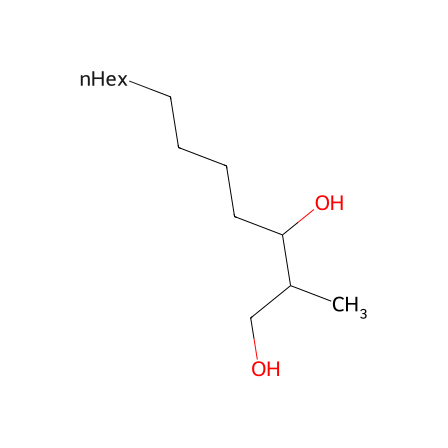 CCCCCCCCCCC(O)C(C)CO